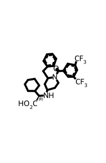 O=C(O)[C@H](NC1CCN(C(=O)c2cc(C(F)(F)F)cc(C(F)(F)F)c2)C(Cc2ccccc2)C1)C1CCCCC1